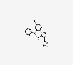 C#Cc1ccc2c(c1)C(c1ccccc1[N+](=O)[O-])=N[C@H](C)c1c(-c3cnco3)ncn1-2